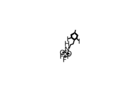 Cc1cc(I)c(CCCNS(=O)(=O)C(F)(F)F)c(I)c1